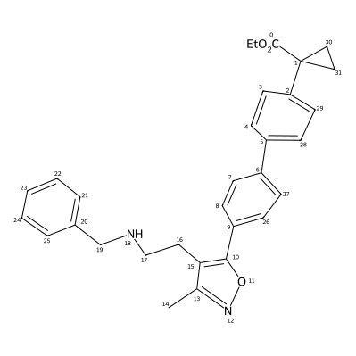 CCOC(=O)C1(c2ccc(-c3ccc(-c4onc(C)c4CCNCc4ccccc4)cc3)cc2)CC1